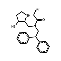 CC(C)CC(=O)N(CC(c1ccccc1)c1ccccc1)CC1NCCC1S